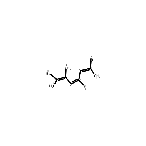 CC/C(C)=C/C(Br)=C\C(C)=C(/C)C(C)CC